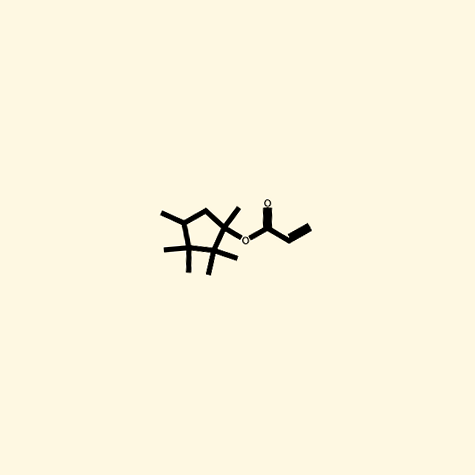 C=CC(=O)OC1(C)CC(C)C(C)(C)C1(C)C